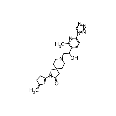 C=C1C=C(N2CC3(CCN(CC(O)c4ccc(-n5cnnn5)nc4C)CC3)CC2=O)CC1